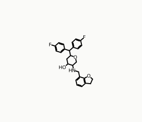 OC1CC(C(c2ccc(F)cc2)c2ccc(F)cc2)OCC1NCc1cccc2c1OCC2